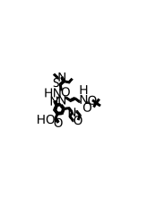 CCc1nc(C)sc1C(=O)Nc1nc2cc(C(=O)O)cc(CN3CCOCC3)c2n1CC=CCNC(=O)OC(C)(C)C